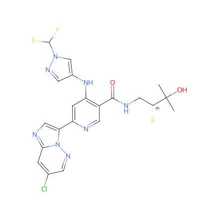 CC(C)(O)[C@H](F)CNC(=O)c1cnc(-c2cnc3cc(Cl)cnn23)cc1Nc1cnn(C(F)F)c1